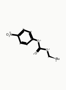 CC[C@H](C)COC(=O)Oc1ccc([N+](=O)[O-])cc1